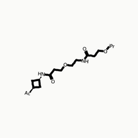 CC(=O)[C@H]1C[C@H](NC(=O)CCOCCNC(=O)CCOC(C)C)C1